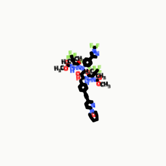 COC(=O)NC(C(=O)N[C@@H](Cc1ccc(C#Cc2ccc(N3CC4CCC(C3)O4)nc2)cc1)[C@@H](O)CN(NC(=O)[C@@H](NC(=O)OC)C(C)(C)C(F)(F)F)c1c(F)cc(-c2cnn(C(F)F)c2)cc1F)C(C)(C)C(F)(F)F